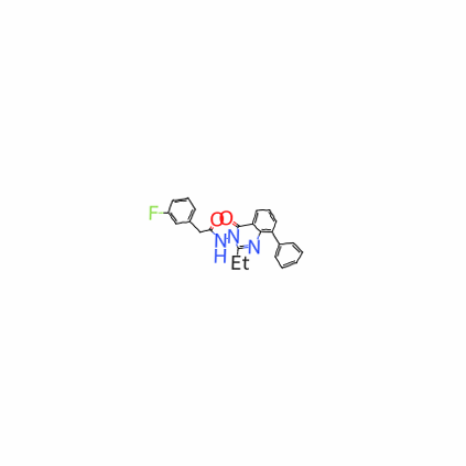 CCc1nc2c(-c3ccccc3)cccc2c(=O)n1NC(=O)Cc1cccc(F)c1